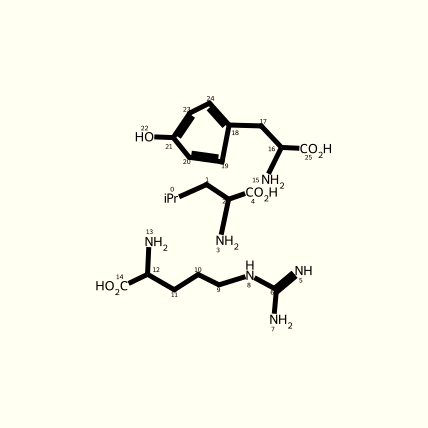 CC(C)CC(N)C(=O)O.N=C(N)NCCCC(N)C(=O)O.NC(Cc1ccc(O)cc1)C(=O)O